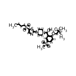 CCCCS(=O)(=O)c1cnc(N2CCN(C(=O)c3cc(S(C)(=O)=O)ccc3OCC(C)(C)C)CC2)s1